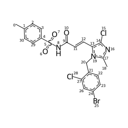 Cc1ccc(S(=O)(=O)NC(=O)C=Cc2c(Cl)nc(C)n2Cc2ccc(Br)cc2Cl)cc1